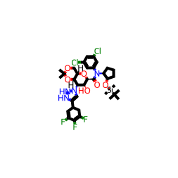 CC1(C)OC[C@H]2O[C@@H](C(=O)N(c3cc(Cl)cc(Cl)c3)[C@H]3CCCC3O[Si](C)(C)C(C)(C)C)[C@H](O)[C@@H](N3C=C(C4C=C(F)C(F)=C(F)C4)NN3)[C@H]2O1